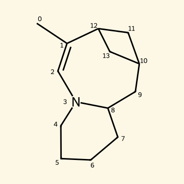 C/C1=C/N2CCCCC2CC2CC1C2